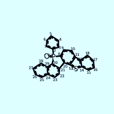 O=P1(c2ccccc2)c2ccc3c(sc4ccccc43)c2-c2ccc3ccccc3c21